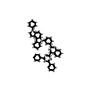 c1ccc(-c2nc(-c3ccccc3)nc(-c3nc(-c4cccc(-n5c6ccccc6c6c7ccn(-c8ccccc8)c7ccc65)c4)nc4ccccc34)n2)cc1